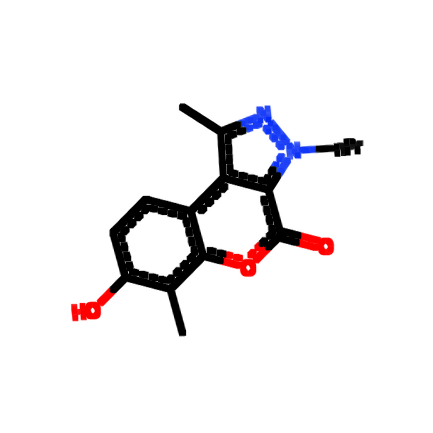 CCCn1nc(C)c2c3ccc(O)c(C)c3oc(=O)c21